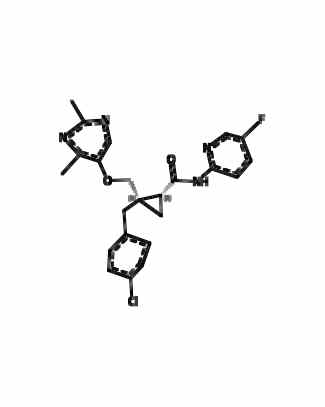 Cc1ncc(OC[C@@]2(Cc3ccc(Cl)cc3)C[C@H]2C(=O)Nc2ccc(F)cn2)c(C)n1